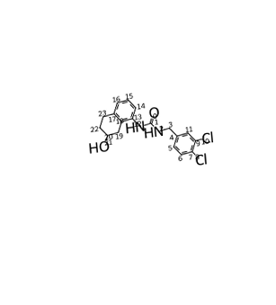 O=C(NCc1ccc(Cl)c(Cl)c1)Nc1cccc2c1CC(O)CC2